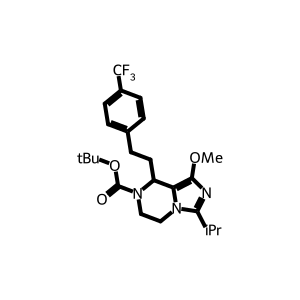 COc1nc(C(C)C)n2c1C(CCc1ccc(C(F)(F)F)cc1)N(C(=O)OC(C)(C)C)CC2